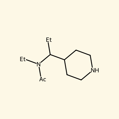 CCC(C1CCNCC1)N(CC)C(C)=O